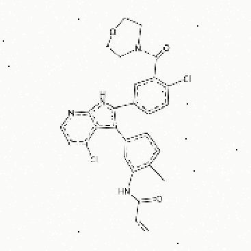 C=CC(=O)Nc1cc(-c2c(-c3ccc(Cl)c(C(=O)N4CCOCC4)c3)[nH]c3nccc(Cl)c23)ccc1C